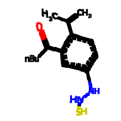 C=C(C)c1ccc(NNS)cc1C(=O)CCCC